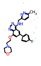 Cc1ccc(CNc2ncnc3c(OCCN4CCOCC4)cc(-c4ccc(F)cc4)cc23)nn1